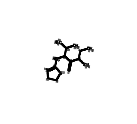 CCC(C)C(=O)C(NC1=NCCS1)C(C)C